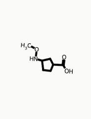 CONC1CCC(C(=O)O)C1